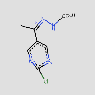 C/C(=N/NC(=O)O)c1cnc(Cl)nc1